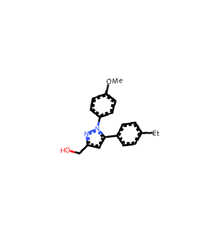 CCc1ccc(-c2cc(CO)nn2-c2ccc(OC)cc2)cc1